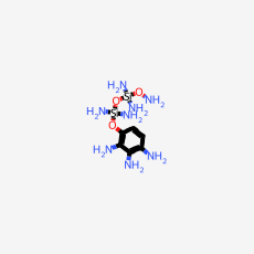 NO[Si](N)(N)O[Si](N)(N)Oc1ccc(N)c(N)c1N